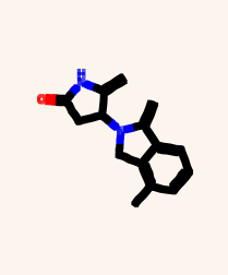 C=C1NC(=O)CC1N1Cc2c(C)cccc2C1=C